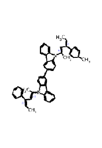 C/C=C(\C=C(/C)n1c2ccccc2c2cc(-c3ccc4c(c3)c3ccccc3n4/C(C)=C/C(=C\C)c3ccccc3)ccc21)C1=CCC(C)C=C1